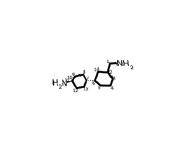 NCC1CCCC([C@H]2CC[C@H](N)CC2)C1